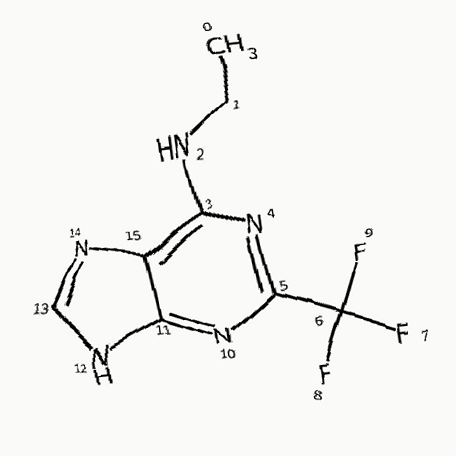 CCNc1nc(C(F)(F)F)nc2[nH]cnc12